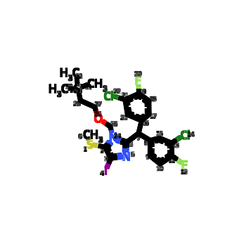 CSc1c(I)nc(C(c2ccc(F)c(Cl)c2)c2ccc(F)c(Cl)c2)n1COCC[Si](C)(C)C